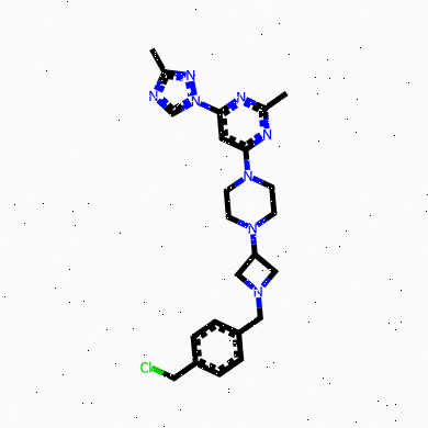 Cc1nc(N2CCN(C3CN(Cc4ccc(CCl)cc4)C3)CC2)cc(-n2cnc(C)n2)n1